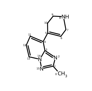 Cc1nc2c(C3=CCNCC3)cccn2n1